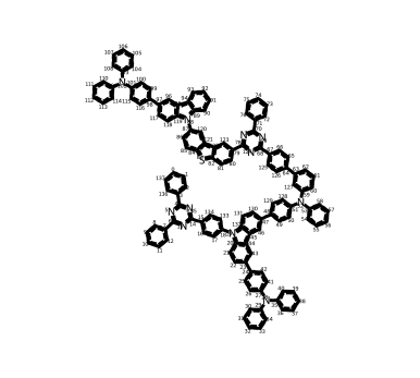 c1ccc(-c2nc(-c3ccccc3)nc(-c3ccc(-n4c5ccc(-c6ccc(N(c7ccccc7)c7ccccc7)cc6)cc5c5cc(-c6ccc(N(c7ccccc7)c7cccc(-c8ccc(-c9nc(-c%10ccccc%10)nc(-c%10ccc%11sc%12ccc(-n%13c%14ccccc%14c%14cc(-c%15ccc(N(c%16ccccc%16)c%16ccccc%16)cc%15)ccc%14%13)cc%12c%11c%10)n9)cc8)c7)cc6)ccc54)cc3)n2)cc1